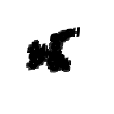 CN1CCC(OC2c3ccccc3CCn3c2nc(I)c3I)CC1.Cc1c(-c2ccc(C(=O)N3CCC(O)CC3)cc2)nc2n1CCc1ccccc1C2OC1CCN(C)CC1